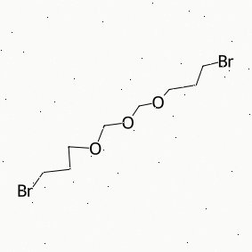 BrCCCOCOCOCCCBr